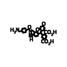 NCc1ccc(C(=O)NCc2c(O)ccc3c(-c4cc(C(=O)O)ccc4C(=O)O)c4ccc(=O)cc-4oc23)cc1